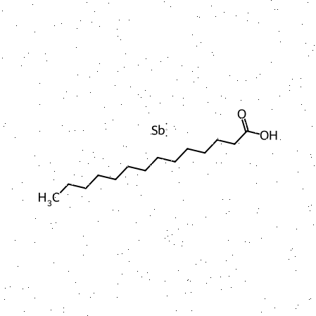 CCCCCCCCCCCCCC(=O)O.[Sb]